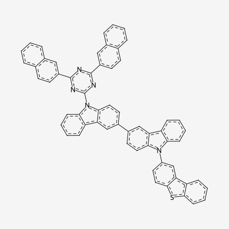 c1ccc2cc(-c3nc(-c4ccc5ccccc5c4)nc(-n4c5ccccc5c5cc(-c6ccc7c(c6)c6ccccc6n7-c6ccc7sc8ccccc8c7c6)ccc54)n3)ccc2c1